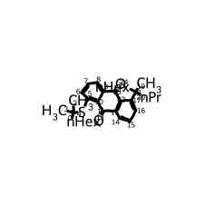 CCCCCCC(C)(C)Sc1cccc2c1C(=O)c1cccc(C(C)(CCC)CCCCCC)c1C2=O